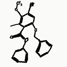 Cc1c(OC(F)(F)F)c(Br)cc(OCc2ccccc2)c1C(=O)Oc1ccccc1